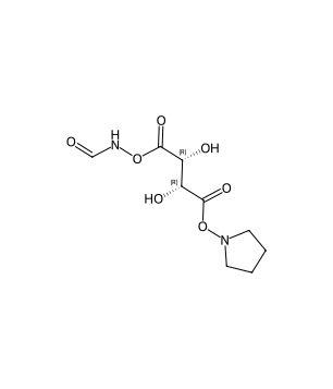 O=CNOC(=O)[C@H](O)[C@@H](O)C(=O)ON1CCCC1